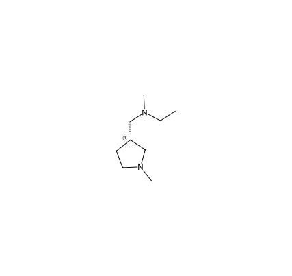 CCN(C)C[C@H]1CCN(C)C1